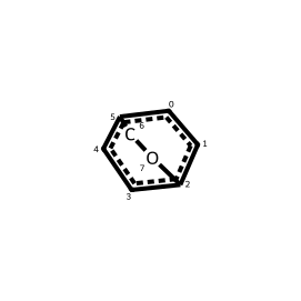 c1cc2ccc1CO2